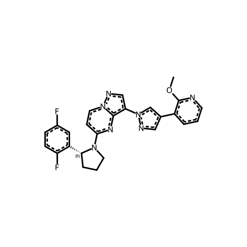 COc1ncccc1-c1cnn(-c2cnn3ccc(N4CCC[C@@H]4c4cc(F)ccc4F)nc23)c1